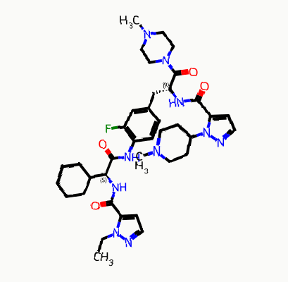 CCn1nccc1C(=O)N[C@H](C(=O)Nc1ccc(C[C@@H](NC(=O)c2ccnn2C2CCN(C)CC2)C(=O)N2CCN(C)CC2)cc1F)C1CCCCC1